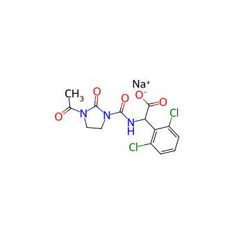 CC(=O)N1CCN(C(=O)NC(C(=O)[O-])c2c(Cl)cccc2Cl)C1=O.[Na+]